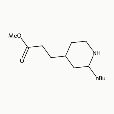 CCCCC1CC(CCC(=O)OC)CCN1